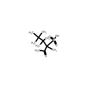 CC(=O)C(C)(C(C)(C)C(C)(C)C)S(=O)(=O)O